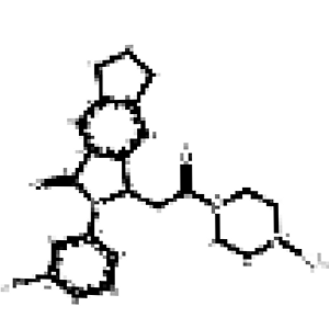 CN1CCN(C(=O)CC2c3cc4c(cc3C(=O)N2c2cccc(F)c2)CCC4)CC1